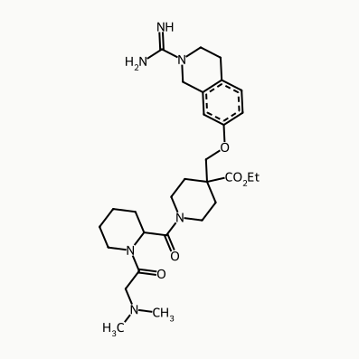 CCOC(=O)C1(COc2ccc3c(c2)CN(C(=N)N)CC3)CCN(C(=O)C2CCCCN2C(=O)CN(C)C)CC1